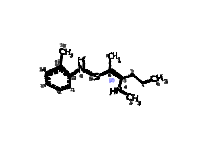 CCC/C(NC)=C(\C)SNc1ccccc1C